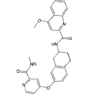 CNC(=O)c1cc(Oc2ccc3c(c2)CC(NC(=O)c2cc(OC)c4ccccc4n2)CC3)ccn1